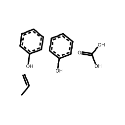 C=CC.O=C(O)O.Oc1ccccc1.Oc1ccccc1